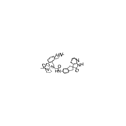 CNCc1ccccc1CN(CC(=O)Nc1ccc2c(c1)CC1(C2)C(=O)Nc2ncccc21)C(=O)C1CCCN1C(C)=O